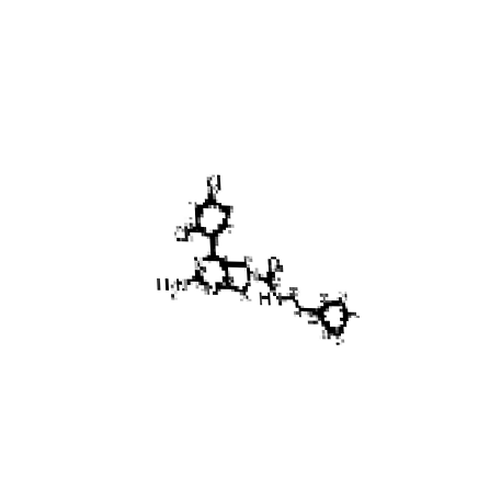 Nc1nc2c(c(-c3ccc(Cl)cc3Cl)n1)CN(C(=O)NCCc1ccccc1)C2